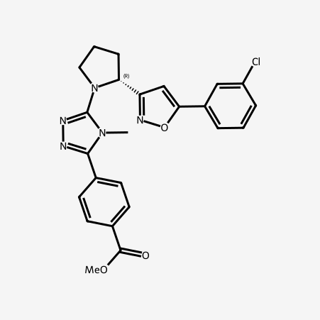 COC(=O)c1ccc(-c2nnc(N3CCC[C@@H]3c3cc(-c4cccc(Cl)c4)on3)n2C)cc1